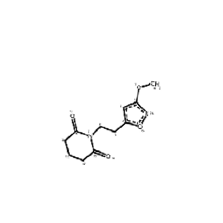 COc1cc(CCN2C(=O)CCCC2=O)on1